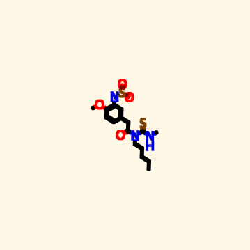 CCCCCN(C(=O)Cc1ccc(OC)c(N=S(=O)=O)c1)C(=S)NC